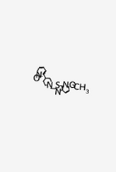 COc1ccc2nc(CN3CCC(c4cccc[n+]4[O-])CC3)sc2n1